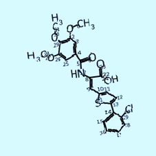 COc1cc(C(=O)NC(=Cc2ccc(-c3ccccc3Cl)s2)C(=O)O)cc(OC)c1OC